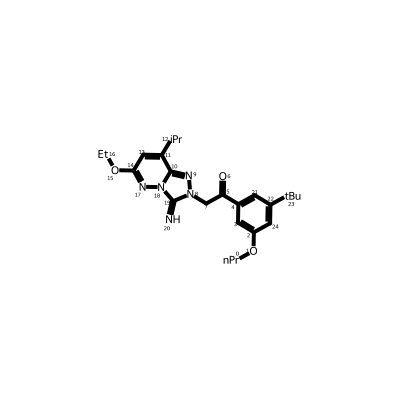 CCCOc1cc(C(=O)Cn2nc3c(C(C)C)cc(OCC)nn3c2=N)cc(C(C)(C)C)c1